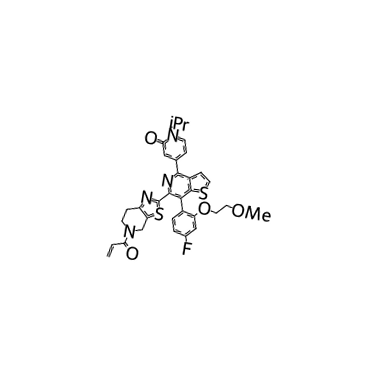 C=CC(=O)N1CCc2nc(-c3nc(-c4ccn(C(C)C)c(=O)c4)c4ccsc4c3-c3ccc(F)cc3OCCOC)sc2C1